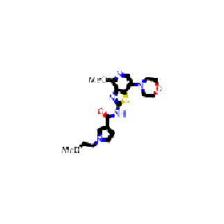 COCCn1ccc(C(=O)Nc2nc3c(OC)ncc(N4CCOCC4)c3s2)c1